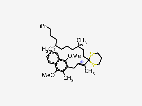 COc1c(C)c(C/C=C(\C)C2(CC[C@H](C)CCC[C@H](C)CCCC(C)C)SCCCS2)c(OC)c2ccccc12